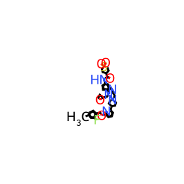 Cc1ccc(COc2cccc(C3CCN(Cc4nc5cc(NC(=O)C6CCS(=O)(=O)CC6)ccc5n4CC4CCO4)CC3)n2)c(F)c1